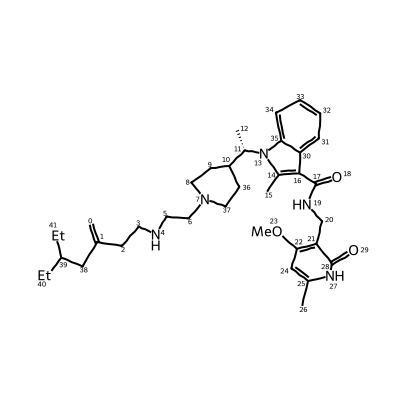 C=C(CCNCCN1CCC([C@H](C)n2c(C)c(C(=O)NCc3c(OC)cc(C)[nH]c3=O)c3ccccc32)CC1)CC(CC)CC